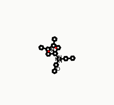 c1ccc(-c2ccc(-c3nc(-c4cc(-c5ccccc5)c(-n5c6ccc(-c7ccccc7)cc6c6cc(-c7ccccc7)ccc65)c(-c5ccccc5)c4)nc(-c4ccc5c(c4)oc4ccccc45)n3)cc2)cc1